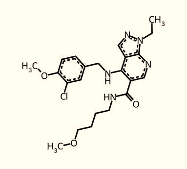 CCn1ncc2c(NCc3ccc(OC)c(Cl)c3)c(C(=O)NCCCCOC)cnc21